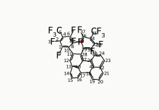 Fc1c(F)c(C(F)(F)F)c(F)c(F)c1-c1cc2cccc3c4cccc5cccc(c(c1-c1c(F)c(F)c(C(F)(F)F)c(F)c1F)c23)c54